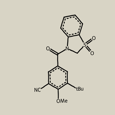 COc1c(C#N)cc(C(=O)N2CS(=O)(=O)c3ccccc32)cc1C(C)(C)C